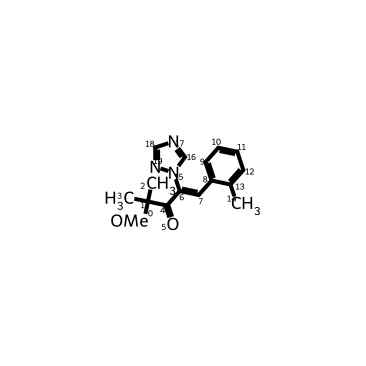 COC(C)(C)C(=O)C(=Cc1ccccc1C)n1cncn1